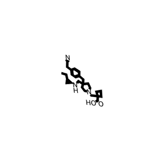 CCC1C[C@H]1NCC1(Cc2ccc(CC#N)cc2)CCN(CC2(C(=O)O)CCC2)CC1